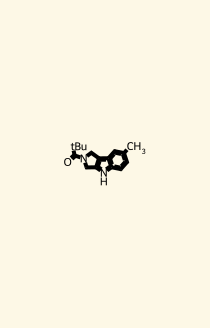 Cc1ccc2[nH]c3c(c2c1)CN(C(=O)C(C)(C)C)C3